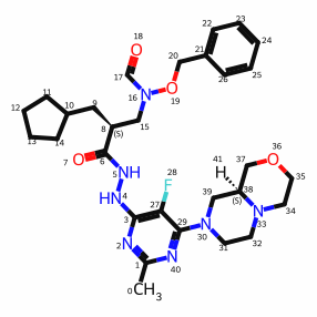 Cc1nc(NNC(=O)[C@@H](CC2CCCC2)CN(C=O)OCc2ccccc2)c(F)c(N2CCN3CCOC[C@@H]3C2)n1